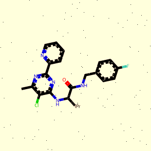 Cc1nc(-c2ccccn2)nc(NC(C(=O)NCc2ccc(F)cc2)C(C)C)c1Cl